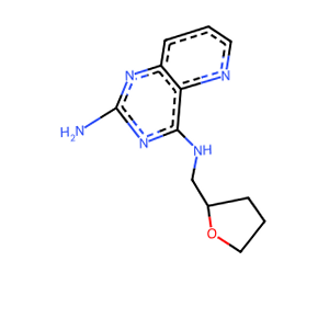 Nc1nc(NCC2CCCO2)c2ncccc2n1